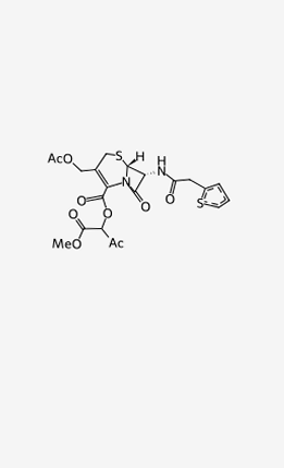 COC(=O)C(OC(=O)C1=C(COC(C)=O)CS[C@@H]2[C@H](NC(=O)Cc3cccs3)C(=O)N12)C(C)=O